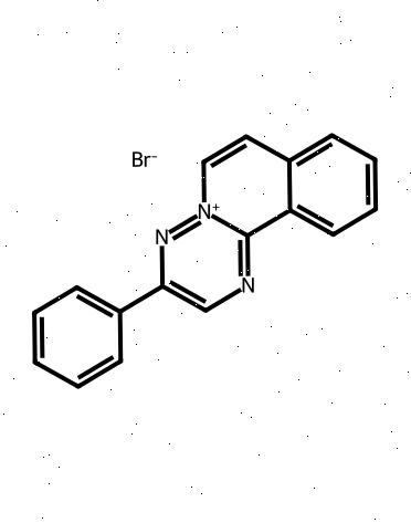 [Br-].c1ccc(-c2cnc3c4ccccc4cc[n+]3n2)cc1